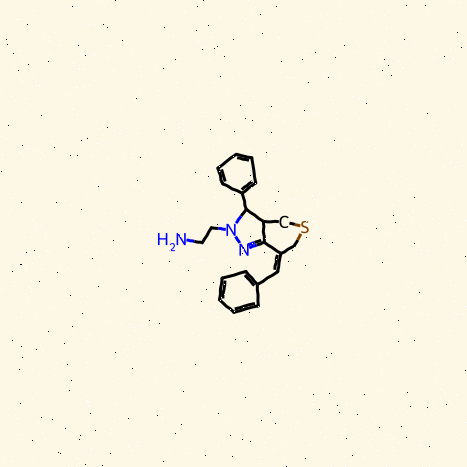 NCCN1N=C2/C(=C\c3ccccc3)CSCC2C1c1ccccc1